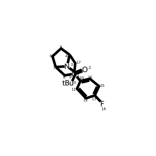 CC(C)(C)C(=O)N1C2CCC1CN(c1ccc(F)cc1)C2